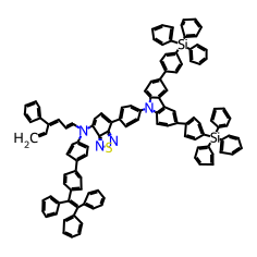 C=C/C(=C\C=C\N(c1ccc(-c2ccc(C(=C(c3ccccc3)c3ccccc3)c3ccccc3)cc2)cc1)c1ccc(-c2ccc(-n3c4ccc(-c5ccc([Si](c6ccccc6)(c6ccccc6)c6ccccc6)cc5)cc4c4cc(-c5ccc([Si](c6ccccc6)(c6ccccc6)c6ccccc6)cc5)ccc43)cc2)c2nsnc12)c1ccccc1